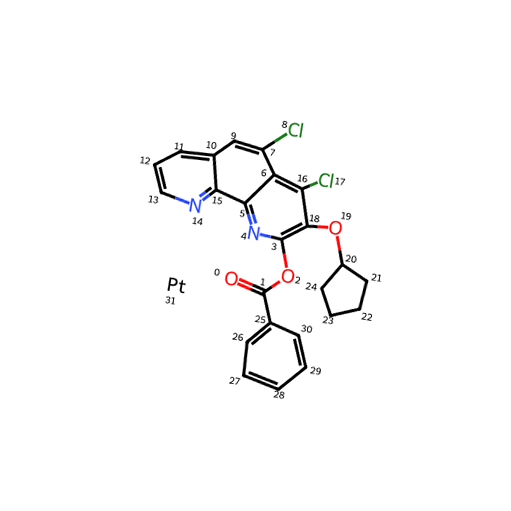 O=C(Oc1nc2c(c(Cl)cc3cccnc32)c(Cl)c1OC1CCCC1)c1ccccc1.[Pt]